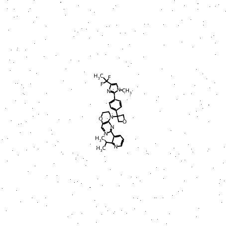 CC(C)c1ncccc1-c1ncc2c(n1)N(C1(c3ccc(-c4nc(C(C)(F)F)cn4C)cc3)COC1)CCO2